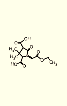 CCOC(=O)C=C1C(=O)C(C(=O)O)C(C)(C)C1C(=O)O